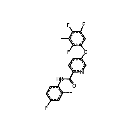 Cc1c(F)c(F)cc(Oc2ccc(C(=O)Nc3ccc(F)cc3F)nc2)c1F